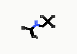 C=C(CC)NCC(CC)(CC)CC